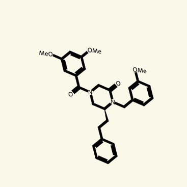 COc1cccc(CN2C(=O)CN(C(=O)c3cc(OC)cc(OC)c3)C[C@@H]2CCc2ccccc2)c1